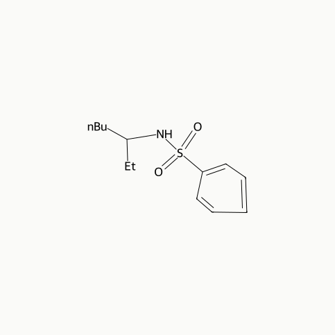 CCCCC(CC)NS(=O)(=O)c1ccccc1